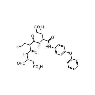 CC(C)CC(C(=O)NC(C=O)CC(=O)O)C(=O)NC(CCC(=O)O)C(=O)Nc1ccc(Oc2ccccc2)cc1